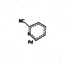 N#Cc1ccccn1.[Pd]